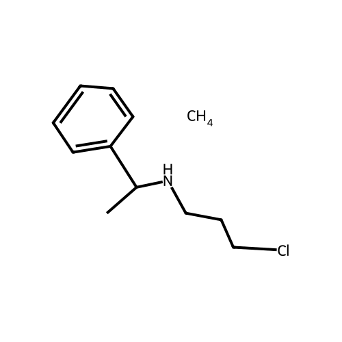 C.CC(NCCCCl)c1ccccc1